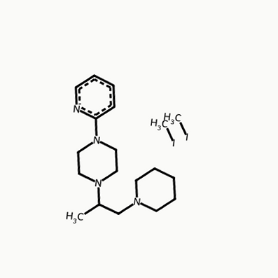 CC(CN1CCCCC1)N1CCN(c2ccccn2)CC1.CI.CI